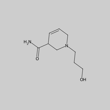 NC(=O)C1C=CCN(CCCO)C1